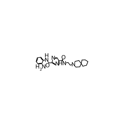 Nc1ccccc1NC(=O)c1cnc(C(=O)NCCN2CCC3(CCCCC3)CC2)cn1